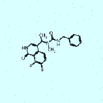 CC(c1c[nH]c(=O)c2c(F)c(F)ccc12)N(C)C(=O)NCc1ccccc1